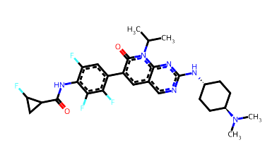 CC(C)n1c(=O)c(-c2cc(F)c(NC(=O)C3CC3F)c(F)c2F)cc2cnc(N[C@H]3CC[C@H](N(C)C)CC3)nc21